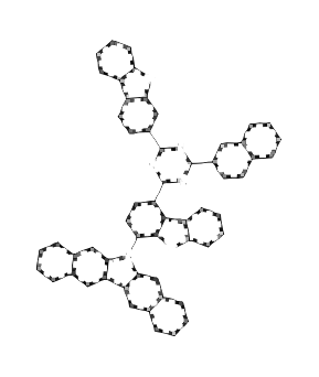 c1ccc2cc(-c3nc(-c4ccc5c(c4)oc4ccccc45)nc(-c4ccc(-n5c6cc7ccccc7cc6c6cc7ccccc7cc65)c5oc6ccccc6c45)n3)ccc2c1